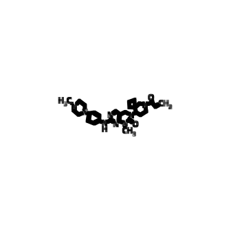 C=CC(=O)N1CCC(N2Cc3cnc(Nc4ccc(N5CCN(C)CC5)cc4)nc3N(C)C2=O)C2(CCC2)C1